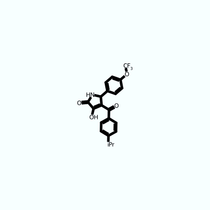 CC(C)c1ccc(C(=O)C2=C(O)C(=O)NC2c2ccc(OC(F)(F)F)cc2)cc1